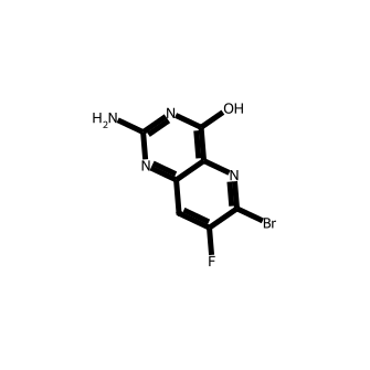 Nc1nc(O)c2nc(Br)c(F)cc2n1